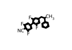 CC(Cc1cc(F)c(-c2cc(F)c(C#N)c(F)c2)c(F)c1)c1ccccc1